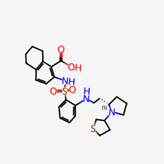 O=C(O)c1c(NS(=O)(=O)c2ccccc2NCC[C@@H]2CCCN2C2CCSC2)ccc2c1CCCC2